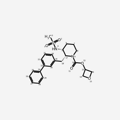 CS(=O)(=O)N[C@@H]1CCCN(C(=O)OC2COC2)[C@@H]1Cc1cccc(-c2ccccc2)c1